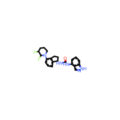 O=C(Nc1cccc2[nH]ncc12)NC1CCc2c1cccc2N1CCCC(F)C1F